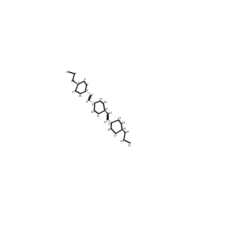 CCC[C@H]1CC[C@H](/C=C/[C@H]2CC[C@H](/C=C/[C@H]3CC[C@H](CCC)CC3)CC2)CC1